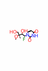 CO[C@](C)(CO)[C@@H](O)[C@@H](F)n1ccc(=O)[nH]c1=O